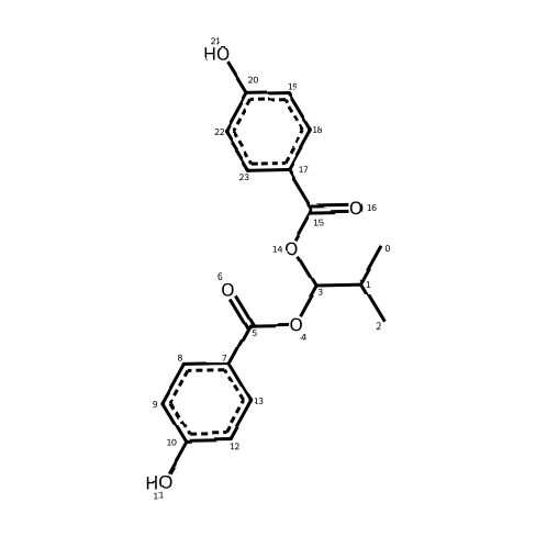 C[C](C)C(OC(=O)c1ccc(O)cc1)OC(=O)c1ccc(O)cc1